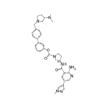 CN(C)C1CCN(Cc2ccc(-c3cccc(OC(=O)N4CC[C@@H](NC(=O)c5cc(-c6cnn(C)c6)cnc5N)C4)c3)cc2)C1